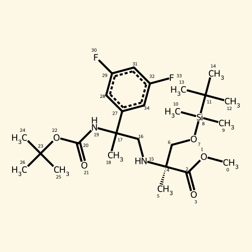 COC(=O)[C@](C)(CO[Si](C)(C)C(C)(C)C)NCC(C)(NC(=O)OC(C)(C)C)c1cc(F)cc(F)c1